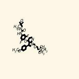 COc1ccc(-c2cn(COCC[Si](C)(C)C)c3nccc(Oc4c(F)cc(NC(=O)NCC5(C)COC5)cc4F)c23)cc1